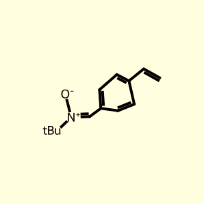 C=Cc1ccc(C=[N+]([O-])C(C)(C)C)cc1